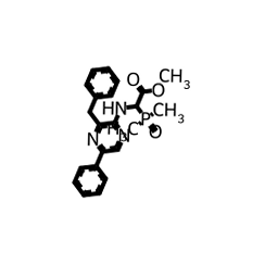 COC(=O)C(Nc1ncc(-c2ccccc2)nc1Cc1ccccc1)P(C)(C)=O